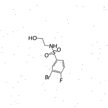 O=S(=O)(NCCO)c1ccc(F)c(Br)c1